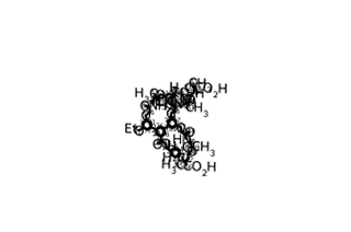 CCOc1cc(OCC(=O)NCC(C)(C)OCCC(C)(C)C(=O)O)cc(-c2cc(C(=O)OCc3ccccc3)cc(-c3cc(OCC(=O)NCC(C)(C)OCCC(C)(C)C(=O)O)cc(OCC(=O)NCC(C)(C)OCCC(C)(C)C(=O)O)c3)c2)c1